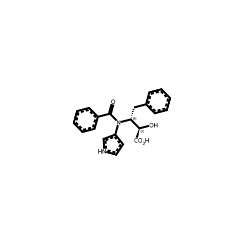 O=C(O)[C@H](O)[C@@H](Cc1ccccc1)N(C(=O)c1ccccc1)c1cc[nH]c1